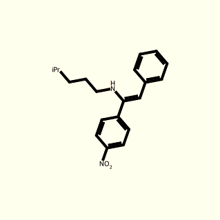 CC(C)CCCNC(=Cc1ccccc1)c1ccc([N+](=O)[O-])cc1